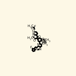 CNC(=O)c1c(-c2ccc(OCC(C)(F)F)nc2)oc2cc(N(C)S(C)(=O)=O)c(-c3ccc4ncn5c6cccc(F)c6cc5c4n3)cc12